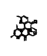 Cc1cc(C)nc(NC2CC3CCC2N(C(=O)c2ccc(C)nc2-c2ncccn2)C3)n1